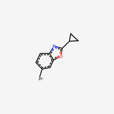 CC(C)c1ccc2nc(C3CC3)oc2c1